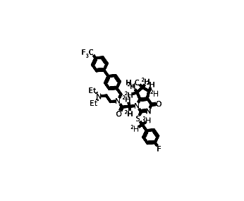 [2H]C([2H])(Sc1nc(=O)c2c(n1C([2H])([2H])C(=O)N(CCN(CC)CC)Cc1ccc(-c3ccc(C(F)(F)F)cc3)cc1)C([2H])([2H])C([2H])(C)C2([2H])[2H])c1ccc(F)cc1